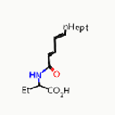 CCCCCCCC=CC=CC(=O)NC(CC)C(=O)O